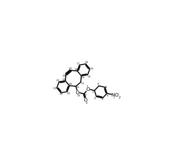 O=C(OC1C=CC([N+](=O)[O-])=CC1)OC1Cc2ccccc2C#Cc2ccccc21